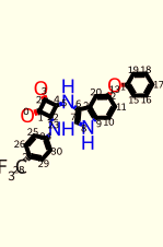 O=C1C(=O)C(Nc2c[nH]c3ccc(Oc4ccccc4)cc23)C1Nc1ccc(C(F)(F)F)cc1